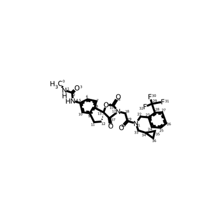 CNC(=O)Nc1ccc2c(c1)CC[C@@]21OC(=O)N(CC(=O)N(Cc2ccccc2C(F)(F)F)CC2CC2)C1=O